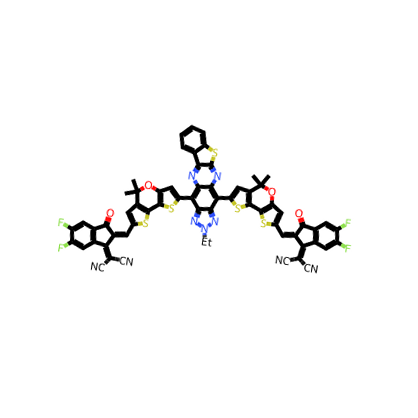 CCn1nc2c(-c3cc4c(s3)-c3sc(/C=C5\C(=O)c6cc(F)c(F)cc6C5=C(C#N)C#N)cc3C(C)(C)O4)c3nc4c(nc3c(-c3cc5c(s3)-c3sc(/C=C6\C(=O)c7cc(F)c(F)cc7C6=C(C#N)C#N)cc3OC5(C)C)c2n1)sc1ccccc14